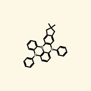 CC1(C)Cc2cc3c(cc2C1)N(c1ccccc1)c1cccc2c1B3c1ccccc1N2c1ccccc1